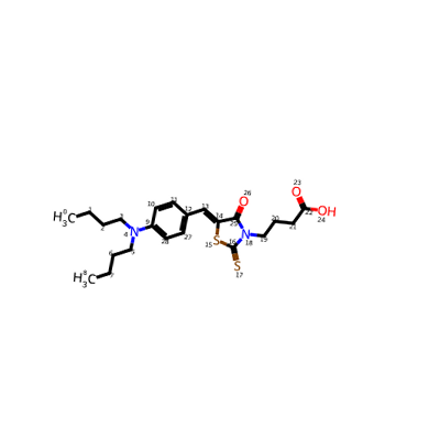 CCCCN(CCCC)c1ccc(/C=C2\SC(=S)N(CCCC(=O)O)C2=O)cc1